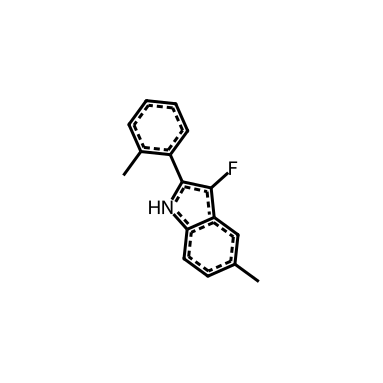 Cc1ccc2[nH]c(-c3ccccc3C)c(F)c2c1